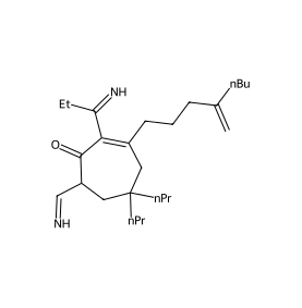 C=C(CCCC)CCCC1=C(C(=N)CC)C(=O)C(C=N)CC(CCC)(CCC)C1